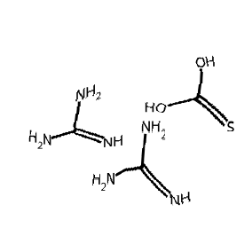 N=C(N)N.N=C(N)N.OC(O)=S